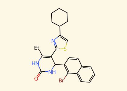 CCC1=C(c2nc(C3CCCCC3)cs2)C(c2ccc3ccccc3c2Br)NC(=O)N1